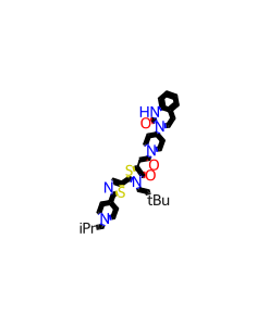 CC(C)CN1CCC(c2ncc(C3S[C@@H](CC(=O)N4CCC(N5CCc6ccccc6NC5=O)CC4)C(=O)N3CCC(C)(C)C)s2)CC1